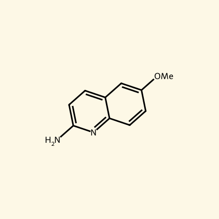 COc1ccc2nc(N)ccc2c1